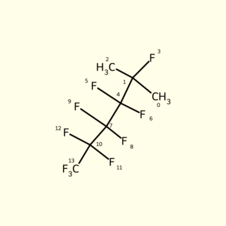 CC(C)(F)C(F)(F)C(F)(F)C(F)(F)C(F)(F)F